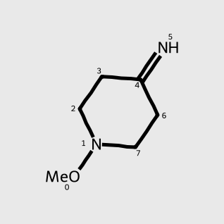 CON1CCC(=N)CC1